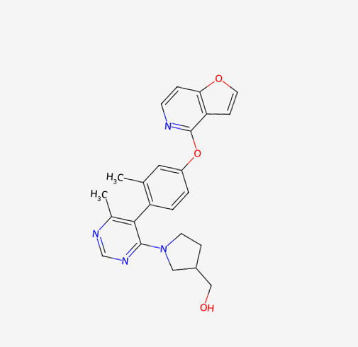 Cc1cc(Oc2nccc3occc23)ccc1-c1c(C)ncnc1N1CCC(CO)C1